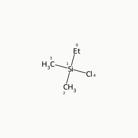 CC[Si](C)(C)Cl